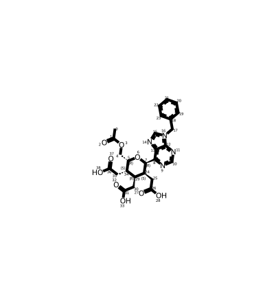 CC(=O)OC[C@@H]1O[C@@H](c2ncnc3c2ncn3Cc2ccccc2)[C@@H](CC(=O)O)[C@@H](CC(=O)O)[C@@H]1CC(=O)O